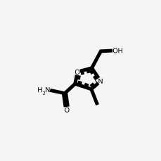 Cc1nc(CO)oc1C(N)=O